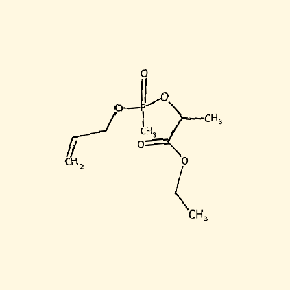 C=CCOP(C)(=O)OC(C)C(=O)OCC